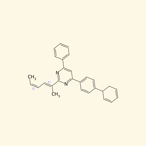 C/C=C\C=C(/C)c1nc(-c2ccccc2)cc(-c2ccc(C3C=CC=CC3)cc2)n1